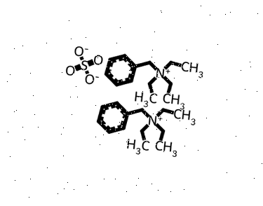 CC[N+](CC)(CC)Cc1ccccc1.CC[N+](CC)(CC)Cc1ccccc1.O=S(=O)([O-])[O-]